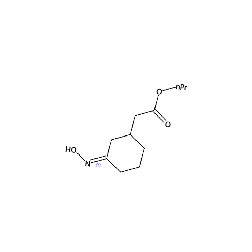 CCCOC(=O)CC1CCC/C(=N/O)C1